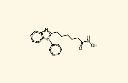 O=C(CCCCCc1nc2ccccc2n1-c1ccccc1)NO